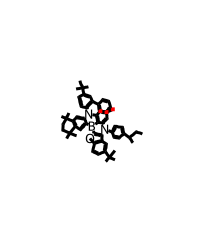 CCC(C)c1ccc(N2c3cc(C)cc4c3B(c3cc5c(cc3N4c3ccc(C(C)(C)C)cc3-c3ccccc3)C(C)(C)CCC5(C)C)c3oc4ccc(C(C)(C)C)cc4c32)cc1